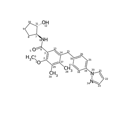 COc1c(C(=O)N[C@H]2CCC[C@@H]2O)cc(Cc2ccc(-n3cccn3)cc2)c(C)c1C